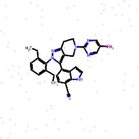 CCc1cccc(CC)c1-n1nc2c(c1-c1ccc(C#N)c3[nH]ccc13)CN(c1ncc(P)cn1)CC2